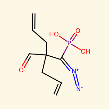 C=CCC(C=O)(CC=C)C(=[N+]=[N-])P(=O)(O)O